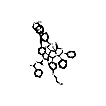 COc1ccc(C#Cc2ccc3c(c2)[C@]2(C(=O)N3C(=O)N[C@H](C)c3ccccc3)[C@H](c3ccc(OCCO)cc3)N3[C@H](c4ccccc4)[C@H](c4ccccc4)OC(=O)[C@H]3[C@@H]2C(=O)Nc2ccc(N3CCOCC3)cc2)cc1